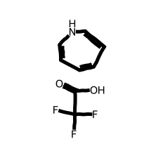 C1=CC=CNC=C1.O=C(O)C(F)(F)F